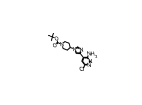 CC(C)(C)OC(=O)N1CCC(n2cnc(-c3cc(Cl)nnc3N)c2)CC1